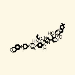 C=CC(=O)Nc1cc(Nc2nc(-c3ccnc(N4CCn5c(cc6c5CC(C)(C)C6)C4=O)c3CO)cn(C)c2=O)ccc1N1CCN(C2CCN(c3ccc4c(c3)CCOC4)[C@@H](C)C2)C[C@@H]1C